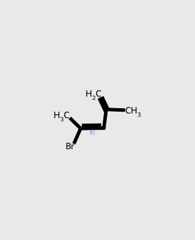 C=C(C)/C=C(\C)Br